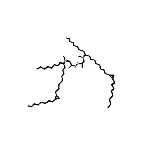 CCCCCCCCC1CC1CCCCCCCCC(CCCCCCCC)N(C)CC(C)SSC(C)CN(C)C(CCCCCCCC)CCCCCCCCC1CC1CCCCCCCC